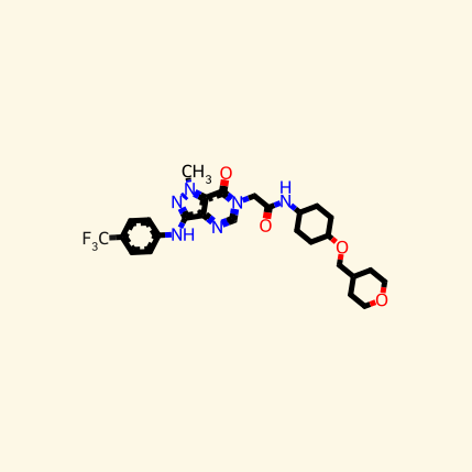 Cn1nc(Nc2ccc(C(F)(F)F)cc2)c2ncn(CC(=O)NC3CCC(OCC4CCOCC4)CC3)c(=O)c21